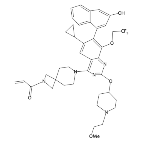 C=CC(=O)N1CC2(CCN(c3nc(OC4CCN(CCOC)CC4)nc4c(OCC(F)(F)F)c(-c5cc(O)cc6ccccc56)c(C5CC5)cc34)CC2)C1